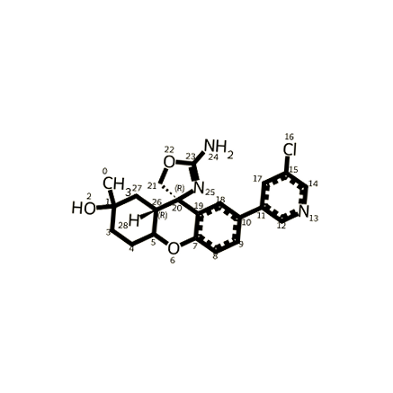 CC1(O)CCC2Oc3ccc(-c4cncc(Cl)c4)cc3[C@@]3(COC(N)=N3)[C@H]2C1